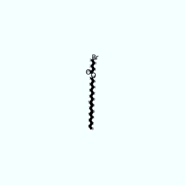 CCCCCC=CCC=CCCCCCCCCOC(=O)CCCCBr